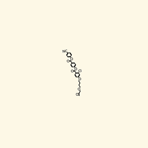 N#Cc1ccc(OC(=O)c2ccc(OC(=O)c3ccc(OCCCCOCC4CO4)cc3Cl)cc2)cc1